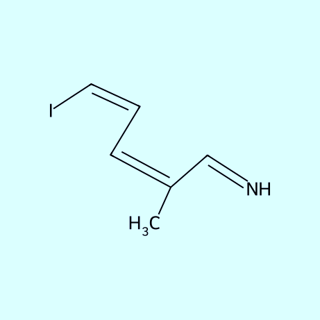 C/C(C=N)=C/C=C\I